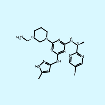 Cc1cc(Nc2nc(N[C@@H](C)c3ncc(F)cn3)nc(N3CCC[C@@H](CN)C3)n2)n[nH]1